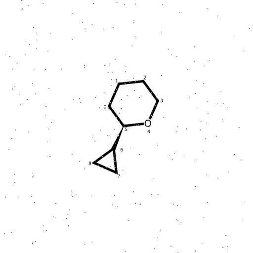 [CH]1CCCO[C@H]1C1CC1